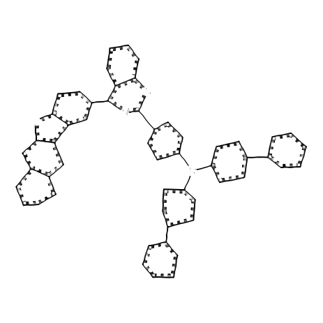 c1ccc(-c2ccc(N(c3ccc(-c4ccccc4)cc3)c3ccc(-c4nc(-c5ccc6oc7cc8ccccc8cc7c6c5)c5ccccc5n4)cc3)cc2)cc1